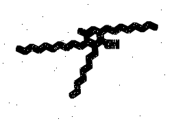 CCCCCCCCCCc1c(C)cc(CCCCCCCC)c(O)c1CCCCCCCC